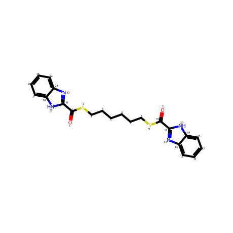 O=C(SCCCCCCSC(=O)c1nc2ccccc2[nH]1)c1nc2ccccc2[nH]1